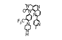 Cc1ccc(-c2ccc3ncc4c(c3n2)N(c2ccc(N3CCNCC3)c(C(F)(F)F)c2)C(=O)N(C)C4)cn1